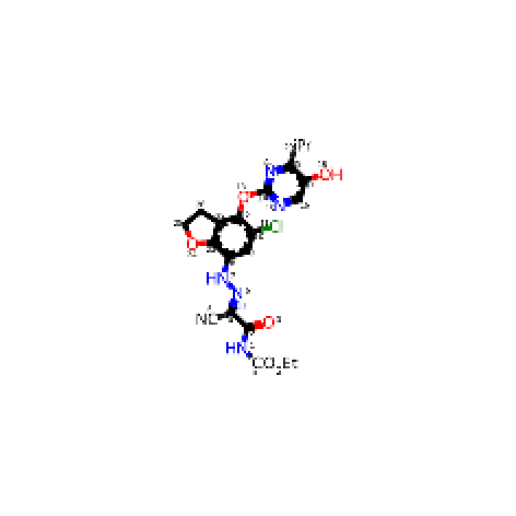 CCOC(=O)NC(=O)/C(C#N)=N/Nc1cc(Cl)c(Oc2ncc(O)c(C(C)C)n2)c2c1OCC2